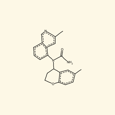 Cc1ccc2c(c1)C(N(C(N)=O)c1cccc3cnc(C)cc13)CCO2